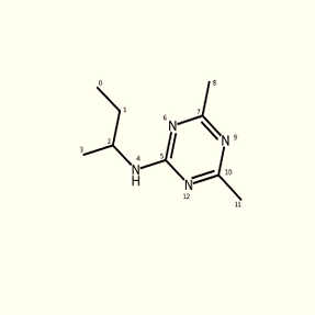 CCC(C)Nc1nc(C)nc(C)n1